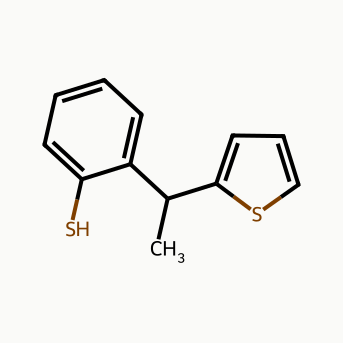 CC(c1cccs1)c1ccccc1S